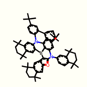 CC(C)(C)c1ccc(N2c3cc4c(cc3B3c5c2cc(C(C)(C)C)cc5N(c2ccc5c(c2)C(C)(C)CCC5(C)C)c2oc5cc6c(cc5c23)C(C)(C)CCC6(C)C)C(C)(C)CCC4(C)C)c(-c2ccccc2)c1